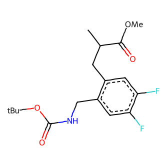 COC(=O)C(C)Cc1cc(F)c(F)cc1CNC(=O)OC(C)(C)C